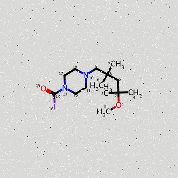 COC(C)(C)CC(C)(C)CN1CCN(C(=O)I)CC1